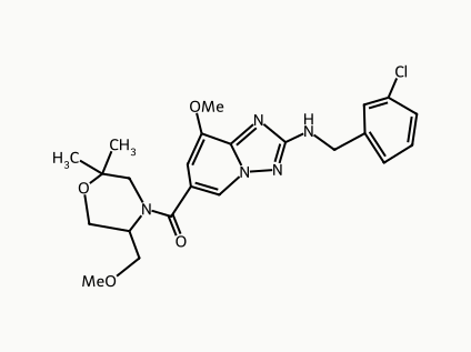 COCC1COC(C)(C)CN1C(=O)c1cc(OC)c2nc(NCc3cccc(Cl)c3)nn2c1